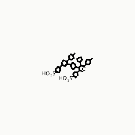 Cc1ccc(-c2ccc(-c3ccc(S(=O)(=O)O)cc3)cc2-c2ccc(-c3c(-c4ccc(S(=O)(=O)O)cc4)ccc(-c4ccc(C)cc4)c3-c3ccccc3)cc2)cc1